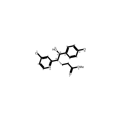 COC(=O)CC[C@H](c1cc(Cl)ccn1)[C@@H](O)c1ccc(Cl)cc1